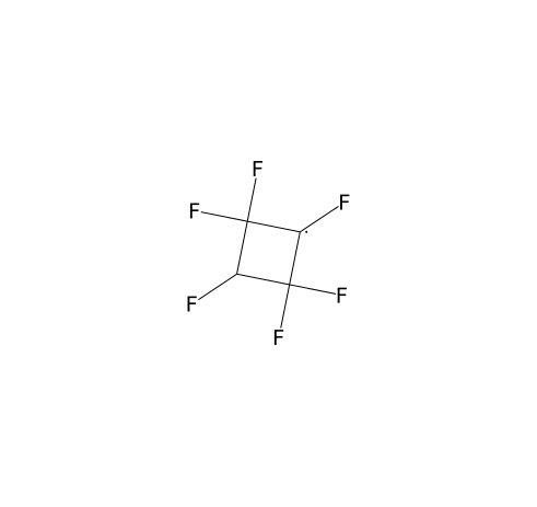 F[C]1C(F)(F)C(F)C1(F)F